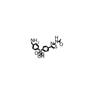 CC(=O)Nc1nc(-c2ccc(N(c3ccc(CN)cc3)S(=O)(=O)O)cc2)cs1